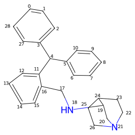 c1ccc(C(c2ccccc2)c2ccccc2CNC2CN3CCC2CC3)cc1